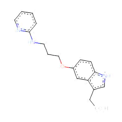 O=C(O)Cc1c[nH]c2ccc(OCCCNc3ccccn3)cc12